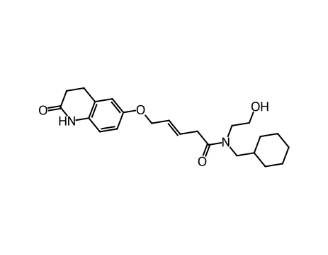 O=C1CCc2cc(OCC=CCC(=O)N(CCO)CC3CCCCC3)ccc2N1